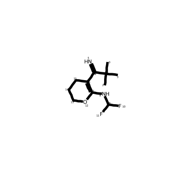 CC(C)(C)C(=N)C1=C(NC(F)F)OCCC1